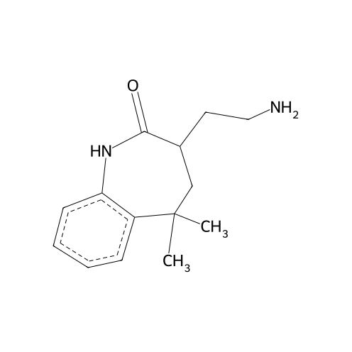 CC1(C)CC(CCN)C(=O)Nc2ccccc21